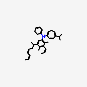 C/C=C\C=C/CC(C)c1cc(N(C2=CCC=C(C(C)C)C=C2)C2=CC=CCC2)c(C)c(/C=C\C)c1C